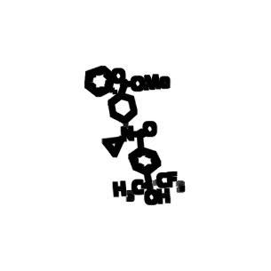 COC(=O)[C@]1(c2ccccc2)CC[C@@H](N(C(=O)c2ccc([C@](C)(O)C(F)(F)F)cc2)C2CC2)CC1